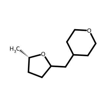 C[C@H]1CCC(CC2CCOCC2)O1